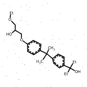 CCOCC(O)COc1ccc(C(C)(C)c2ccc(C(O)(CC)CC)cc2)cc1